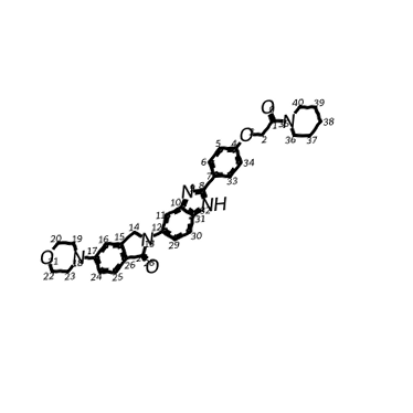 O=C(COc1ccc(-c2nc3cc(N4Cc5cc(N6CCOCC6)ccc5C4=O)ccc3[nH]2)cc1)N1CCCCC1